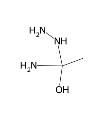 CC(N)(O)NN